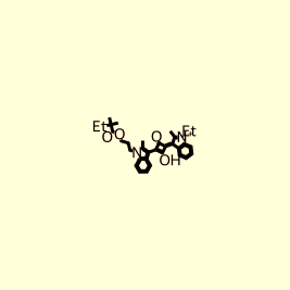 CC[N+]1=C(C)/C(=C2\C(=O)C(c3c(C)n(CCCOC(=O)C(C)(C)CC)c4ccccc34)=C2O)c2ccccc21